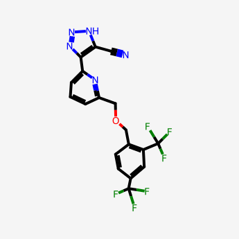 N#Cc1[nH]nnc1-c1cccc(COCc2ccc(C(F)(F)F)cc2C(F)(F)F)n1